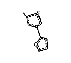 Cc1cc(-c2ccco2)cs1